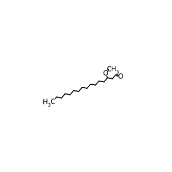 CCCCCCCCCCCCCC(CC=O)OC